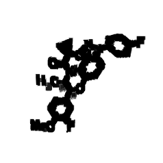 COc1ccc([C@H](Oc2ccc3c(cnn3-c3ccc(F)cc3)c2)[C@H](C)NC(=O)C2(C)CC2)cc1F